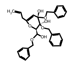 C=CCC1=C[C@](O)(OCc2ccccc2)[C@@](O)(OCc2ccccc2)[C@@H](C(O)OCc2ccccc2)O1